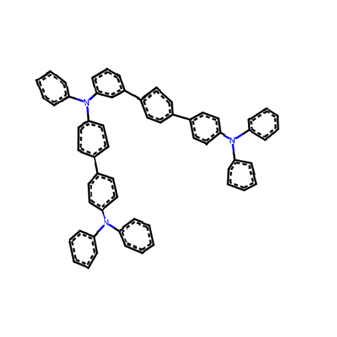 c1ccc(N(c2ccccc2)c2ccc(-c3ccc(-c4cccc(N(c5ccccc5)c5ccc(-c6ccc(N(c7ccccc7)c7ccccc7)cc6)cc5)c4)cc3)cc2)cc1